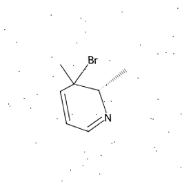 C[C@@H]1N=CC=CC1(C)Br